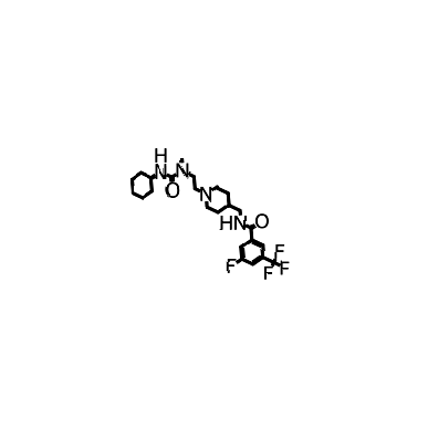 CN(CCN1CCC(CNC(=O)c2cc(F)cc(C(F)(F)F)c2)CC1)C(=O)NC1CCCCC1